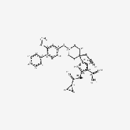 COc1cc(CN2CCC(CC#N)(n3cc(C(N)=O)c(NC(=O)C4CC4)n3)CC2)ccc1-c1ccccc1